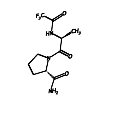 C[C@H](NC(=O)C(F)(F)F)C(=O)N1CCC[C@H]1C(N)=O